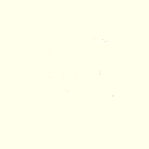 CC(OP(=O)(O)Cc1ccccc1)(C(=O)O)c1cccc2[nH]ccc12